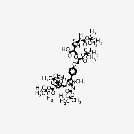 Cn1c(-c2ccc(OCC(O/N=C(\C(=O)O)c3csc(NC(=O)OC(C)(C)C)n3)C(=O)OC(C)(C)C)cc2)cn(CC(CNC(=O)OC(C)(C)C)O[Si](C)(C)C(C)(C)C)c1=NC(=O)OC(C)(C)C